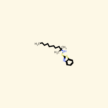 CCCCCCCCC(C)(C)NSc1nc2ccccc2s1